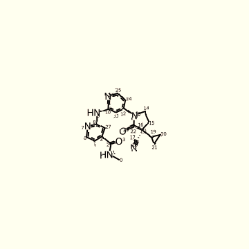 CNC(=O)c1ccnc(Nc2cc(N3CC[C@@](C#N)(C4CC4)C3=O)ccn2)c1